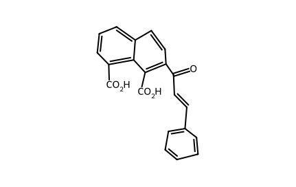 O=C(C=Cc1ccccc1)c1ccc2cccc(C(=O)O)c2c1C(=O)O